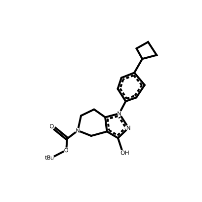 CC(C)(C)OC(=O)N1CCc2c(c(O)nn2-c2ccc(C3CCC3)cc2)C1